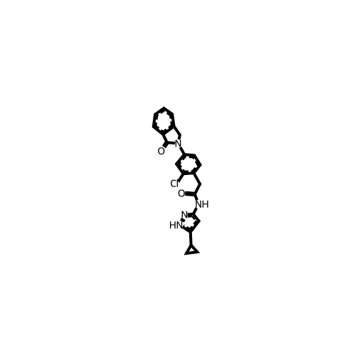 O=C(Cc1ccc(N2Cc3ccccc3C2=O)cc1Cl)Nc1cc(C2CC2)[nH]n1